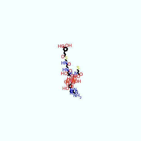 CC(C)(COP(=O)(O)OP(=O)(O)OC[C@H]1O[C@@H](n2cnc3c(N)ncnc32)[C@H](O)[C@@H]1OP(=O)(O)O)C(O)C(=O)NCCC(=O)NCCSC(=O)/C=C/c1ccc(O)c(O)c1.CSCCC(N)C(=O)O